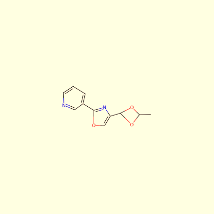 CC1OC(c2coc(-c3cccnc3)n2)O1